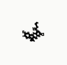 CCCNc1nc(Cl)ncc1CN1C(=O)C2(CC2)c2ccc(F)cc21